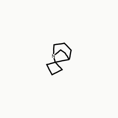 C1CC2CCN(C1)C21CCC1